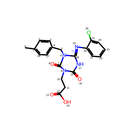 Cc1ccc(Cn2c(=O)n(CCC(=O)O)c(=O)[nH]/c2=N\c2ccccc2Cl)cc1